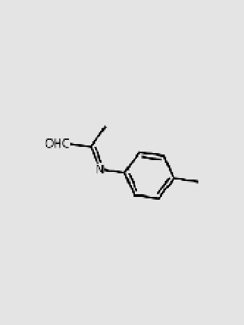 CC(C=O)=Nc1ccc(C)cc1